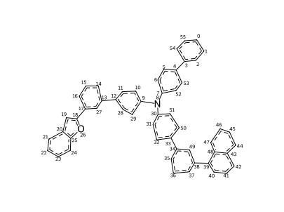 c1ccc(-c2ccc(N(c3ccc(-c4cccc(-c5cc6ccccc6o5)c4)cc3)c3ccc(-c4cccc(-c5cccc6ccccc56)c4)cc3)cc2)cc1